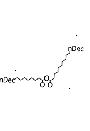 CCCCCCCCCCCCCCCCCCCC(=O)OC(=O)CCCCCCCCCCCCCCCCC